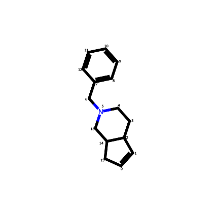 C1=CC2CCN(Cc3ccccc3)CC2C1